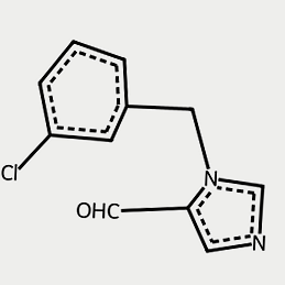 O=Cc1cncn1Cc1cccc(Cl)c1